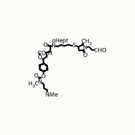 C=C1C(SCCCCCN(CCCCCCC)C(=O)CCCC(OC(=O)O)c2ccc(OC(=O)N(C)CCCNC)cc2)CC(=O)N1CCC=O